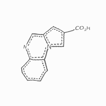 O=C(O)c1cc2cnc3ccccc3n2c1